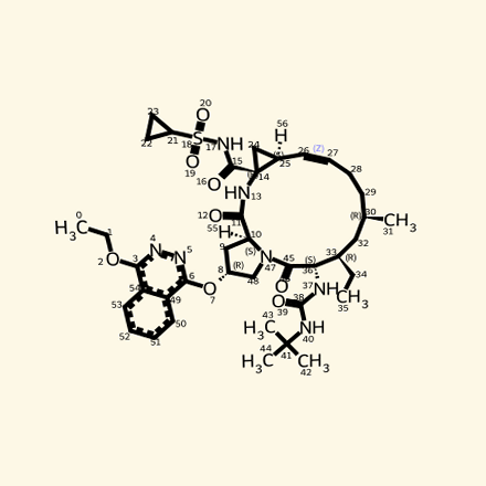 CCOc1nnc(O[C@@H]2C[C@H]3C(=O)N[C@]4(C(=O)NS(=O)(=O)C5CC5)C[C@H]4/C=C\CC[C@@H](C)C[C@@H](CC)[C@H](NC(=O)NC(C)(C)C)C(=O)N3C2)c2ccccc12